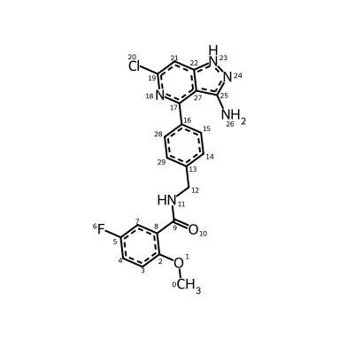 COc1ccc(F)cc1C(=O)NCc1ccc(-c2nc(Cl)cc3[nH]nc(N)c23)cc1